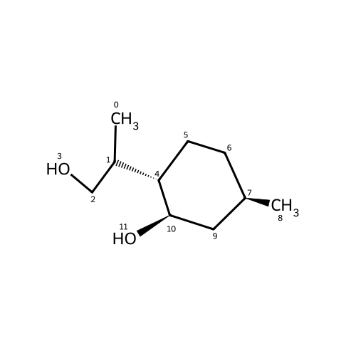 CC(CO)[C@@H]1CC[C@@H](C)C[C@H]1O